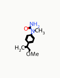 C=C(COC)c1ccc(N(C)C(N)=O)cc1